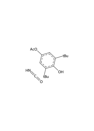 CC(=O)Oc1cc(C(C)(C)C)c(O)c(C(C)(C)C)c1.N=C=O